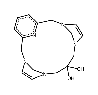 OC1(O)CN2C=CN(Cc3cccc(n3)CN3C=CN(C3)C1)C2